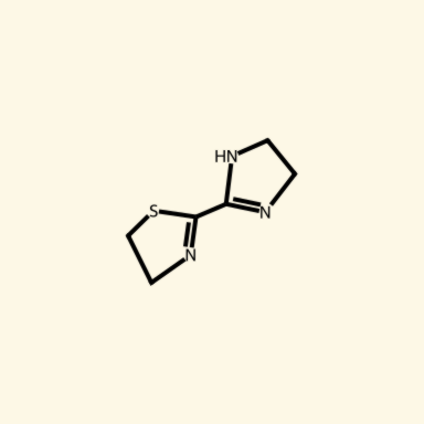 C1CNC(C2=NCCS2)=N1